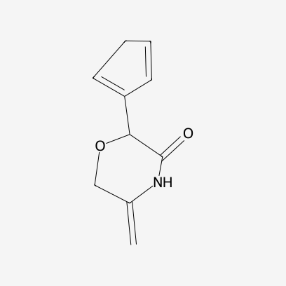 C=C1COC(C2=CCC=C2)C(=O)N1